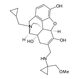 COCC1(NCC2=C(O)[C@@H]3Oc4c(O)ccc5c4[C@@]34CCN(CC3CC3)[C@H](C5)[C@]4(O)C2)CC1